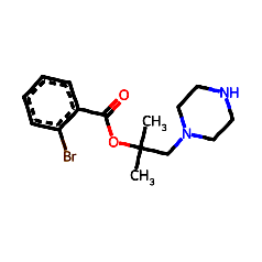 CC(C)(CN1CCNCC1)OC(=O)c1ccccc1Br